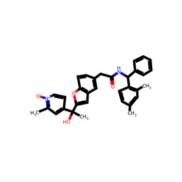 Cc1ccc(C(NC(=O)Cc2ccc3oc(C(C)(O)c4cc[n+]([O-])c(C)c4)cc3c2)c2ccccc2)c(C)c1